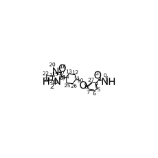 CNC(=O)c1cccc(OCC2CCC([C@H](N)C(=O)N(C)C3CCC3)CC2)c1